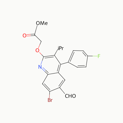 COC(=O)COc1nc2cc(Br)c(C=O)cc2c(-c2ccc(F)cc2)c1C(C)C